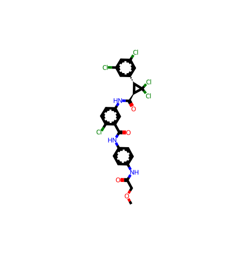 COCC(=O)Nc1ccc(NC(=O)c2cc(NC(=O)[C@H]3[C@H](c4cc(Cl)cc(Cl)c4)C3(Cl)Cl)ccc2Cl)cc1